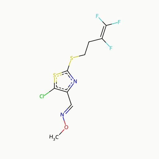 CON=Cc1nc(SCCC(F)=C(F)F)sc1Cl